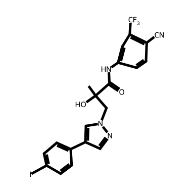 CC(O)(Cn1cc(-c2ccc(I)cc2)cn1)C(=O)Nc1ccc(C#N)c(C(F)(F)F)c1